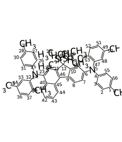 Cc1ccc(N(c2ccc3c(c2)C([Si](C)(C)C)([Si](C)(C)C)c2cc(N(c4ccc(C)cc4)c4cc(C)ccc4C)c4ccccc4c2-3)c2cc(C)ccc2C)cc1